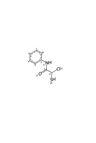 O=C(Nc1ccccc1)C(S)Cl